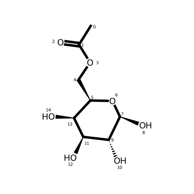 CC(=O)OC[C@H]1O[C@@H](O)[C@H](O)[C@@H](O)[C@H]1O